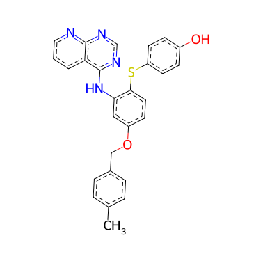 Cc1ccc(COc2ccc(Sc3ccc(O)cc3)c(Nc3ncnc4ncccc34)c2)cc1